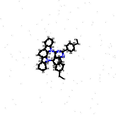 CCc1ccc(-c2cc(-n3c4ccccc4c4ccc5c6ccccc6n(-c6ccccc6)c5c43)nc(-c3ccc(CC)cc3)n2)cc1